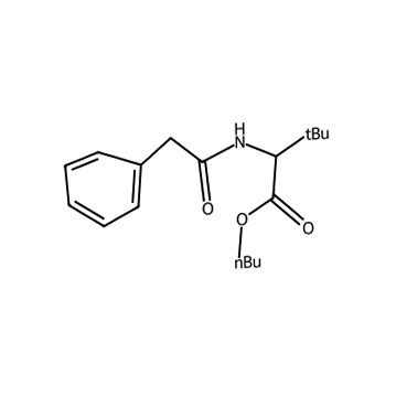 CCCCOC(=O)C(NC(=O)Cc1ccccc1)C(C)(C)C